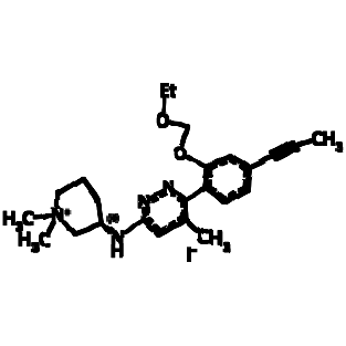 CC#Cc1ccc(-c2nnc(N[C@@H]3CCC[N+](C)(C)C3)cc2C)c(OCOCC)c1.[I-]